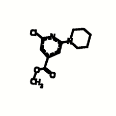 COC(=O)c1cc(Cl)nc(N2CCCCC2)c1